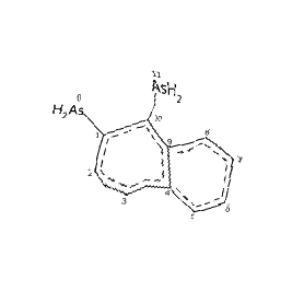 [AsH2]c1ccc2ccccc2c1[AsH2]